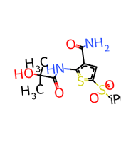 CC(C)S(=O)(=O)c1cc(C(N)=O)c(NC(=O)C(C)(C)O)s1